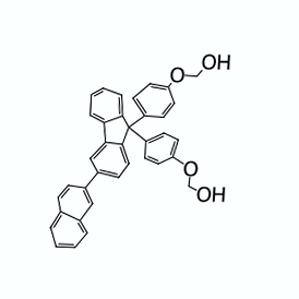 OCOc1ccc(C2(c3ccc(OCO)cc3)c3ccccc3-c3cc(-c4ccc5ccccc5c4)ccc32)cc1